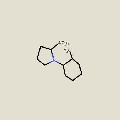 CC1CCCCC1N1CCCC1C(=O)O